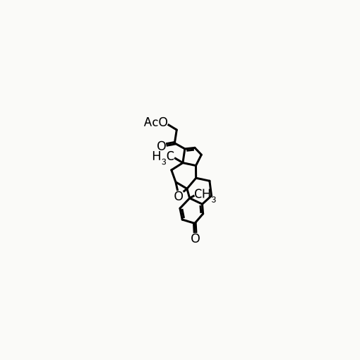 CC(=O)OCC(=O)C1=CCC2C3CCC4=CC(=O)C=CC4(C)C34OC4CC12C